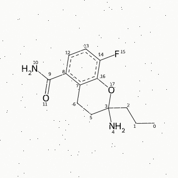 CCCC1(N)CCc2c(C(N)=O)ccc(F)c2O1